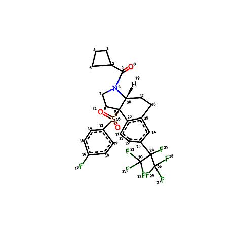 O=C(C1CCC1)N1CC[C@@]2(S(=O)(=O)c3ccc(F)cc3)c3ccc(C(F)(C(F)(F)F)C(F)(F)F)cc3CC[C@@H]12